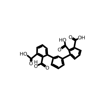 O=C(O)c1cccc(-c2cccc(-c3cccc(C(=O)O)c3C(=O)O)c2)c1C(=O)O